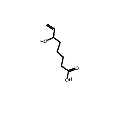 C=CC(O)CCCCC(=O)O